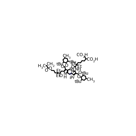 C=C(C)C(=O)OCCCC(CC)(CC)C(=O)Cc1[nH]c(/C=C2\N=C(NC(=O)C(CC)(CC)CCCCC(CC(=O)O)C(=O)O)C(C(=O)OC3C(C(C)(C)C)CC(C)CC3C(C)(C)C)=C2C(C)C)c(C(C)C)c1C(=O)OC1C(C(C)(C)C)CC(C)CC1C(C)(C)C